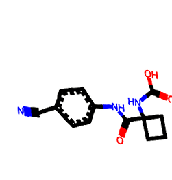 N#Cc1ccc(NC(=O)C2(NC(=O)O)CCC2)cc1